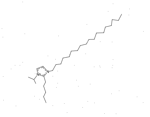 CCCCCCCCCCCCCCCCCCn1cc[n+](C(C)C)c1CCCCC